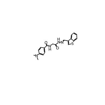 CN(C)c1ccc(C(=O)NCC(=O)N/N=C/c2csc3ccccc23)cc1